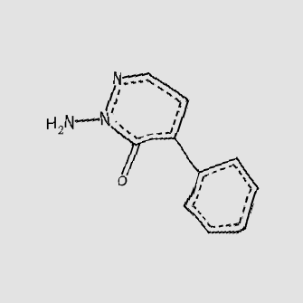 Nn1nccc(-c2ccccc2)c1=O